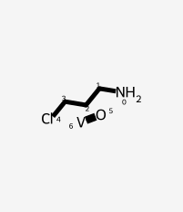 NCCCCl.[O]=[V]